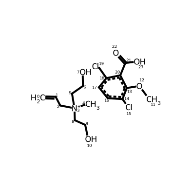 C=CC[N+](C)(CCO)CCO.COc1c(Cl)ccc(Cl)c1C(=O)O